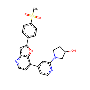 CS(=O)(=O)c1ccc(-c2cc3nccc(-c4ccnc(N5CCC(O)C5)c4)c3o2)cc1